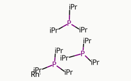 CC(C)P(C(C)C)C(C)C.CC(C)P(C(C)C)C(C)C.CC(C)P(C(C)C)C(C)C.[Rh]